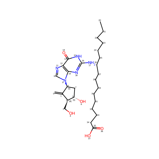 C=C1[C@H](CO)[C@@H](O)C[C@@H]1n1cnc2c(=O)[nH]c(N)nc21.CCCCCCCCCCCCCCCC(=O)O